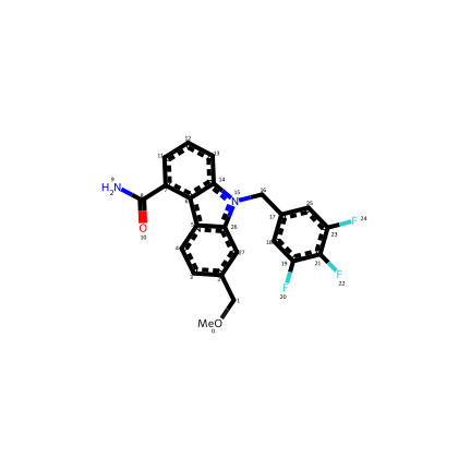 COCc1c[c]c2c3c(C(N)=O)cccc3n(Cc3cc(F)c(F)c(F)c3)c2c1